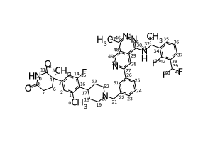 Cc1cc([C@@]2(C)CCC(=O)NC2=O)cc(F)c1C1CCN(Cc2cccc(-c3cc4c(N[C@H](C)c5cccc(C(F)F)c5F)nnc(C)c4cn3)c2)CC1